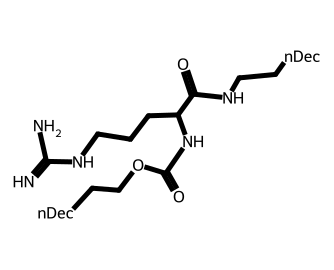 CCCCCCCCCCCCNC(=O)C(CCCNC(=N)N)NC(=O)OCCCCCCCCCCCC